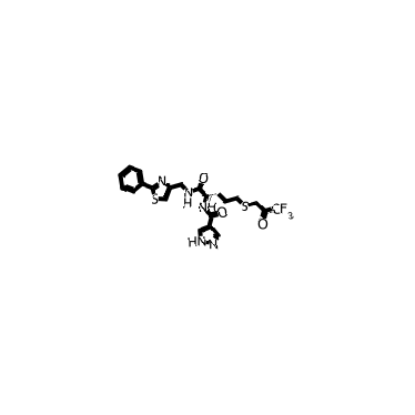 O=C(N[C@@H](CCCSCC(=O)C(F)(F)F)C(=O)NCc1csc(-c2ccccc2)n1)c1cn[nH]c1